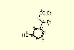 CCOC(=O)CC(CC)c1cccc(O)c1